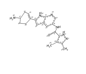 Cc1n[nH]c(C(=O)Nc2cnc3[nH]c(C4=CCC(N)CC4)cc3c2)c1C